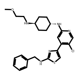 COCCN[C@H]1CC[C@H](Nc2cc(-c3csc(NCc4ccccc4)n3)c(Cl)cn2)CC1